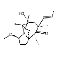 CC=C[C@]1(C)C[C@@H](O)[C@]2(C)C(C)CCC3(CC[C@@H](OC)C32)[C@@H](C)C1=O